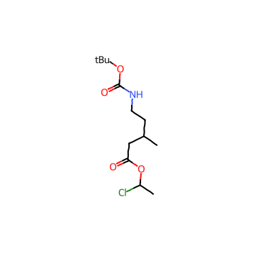 CC(CCNC(=O)OC(C)(C)C)CC(=O)OC(C)Cl